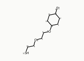 CCC1CCC(OCCOCCS)CC1